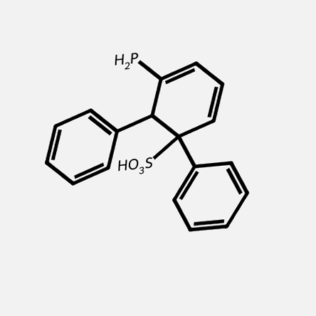 O=S(=O)(O)C1(c2ccccc2)C=CC=C(P)C1c1ccccc1